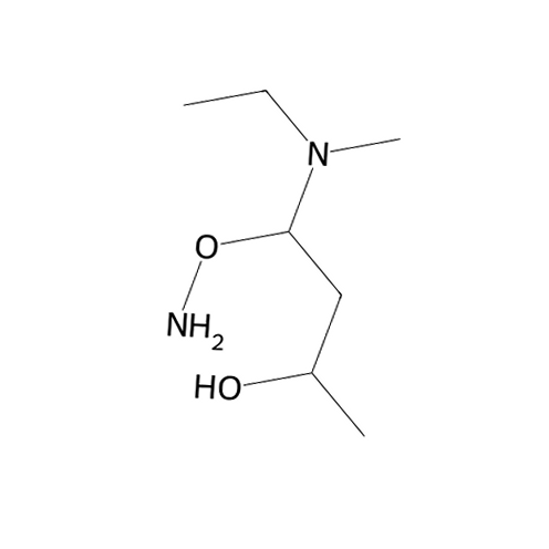 CCN(C)C(CC(C)O)ON